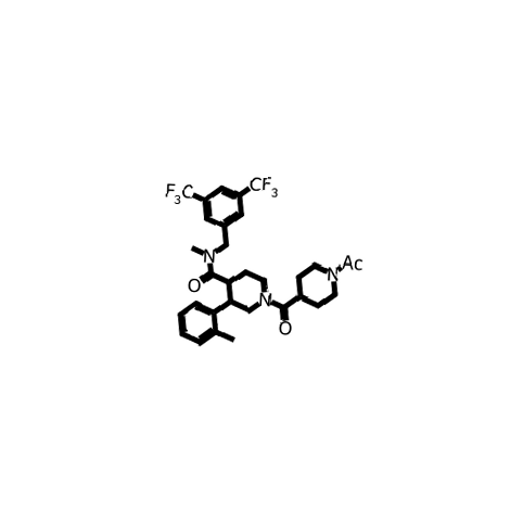 CC(=O)N1CCC(C(=O)N2CCC(C(=O)N(C)Cc3cc(C(F)(F)F)cc(C(F)(F)F)c3)C(c3ccccc3C)C2)CC1